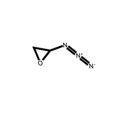 [N-]=[N+]=NC1CO1